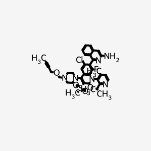 CC#CCOCN1CCN(c2c(S(C)(=O)=O)c(=O)n(-c3c(C)ccnc3C(C)C)c3c(F)c(-c4nc(N)cc5ccccc45)c(Cl)cc23)CC1